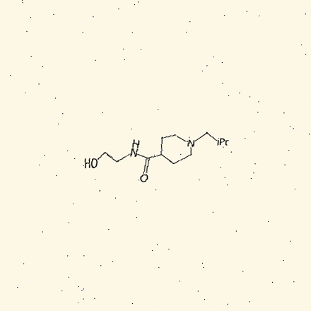 CC(C)CN1CCC(C(=O)NCCO)CC1